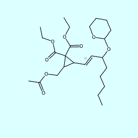 CCCCCC(/C=C/C1C(COC(C)=O)C1(C(=O)OCC)C(=O)OCC)OC1CCCCO1